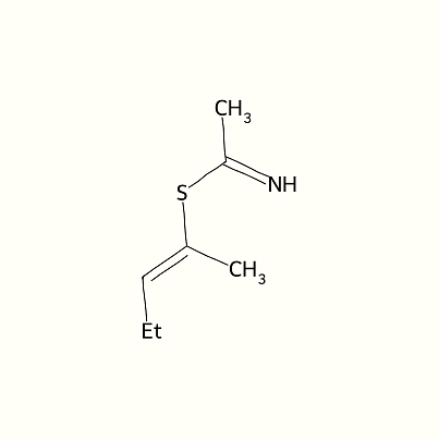 CC/C=C(\C)SC(C)=N